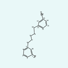 Fc1cccc(CCCCCc2cccc(Br)c2)c1